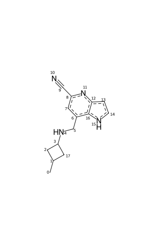 CC1CC(NCc2cc(C#N)nc3cc[nH]c23)C1